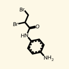 Nc1ccc(NC(=O)C(Br)CBr)cc1